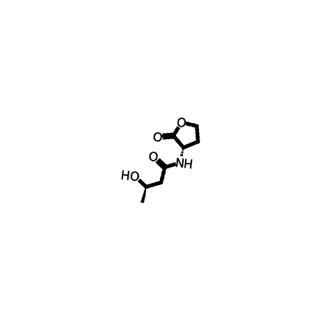 C[C@@H](O)CC(=O)N[C@H]1CCOC1=O